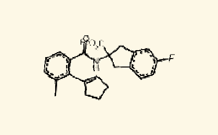 CCOC(=O)C1(NC(=O)c2cccc(C)c2C2=CCCC2)Cc2ccc(F)cc2C1